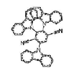 N#Cc1cc(-n2c3ccccc3c3ccccc32)c(C#N)c(-n2c3ccccc3c3ccccc32)c1-n1c2ccccc2c2ccccc21